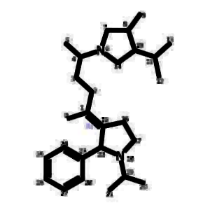 C/C(CCC(C)N1CC(C)C(C(C)C)C1)=C1/CCN(C(C)C)C1c1ccccc1